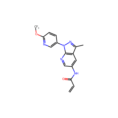 C=CC(=O)Nc1cnc2c(c1)c(C)nn2-c1ccc(OC(F)(F)F)nc1